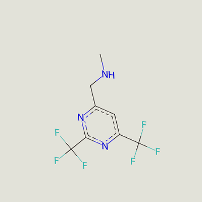 CNCc1cc(C(F)(F)F)nc(C(F)(F)F)n1